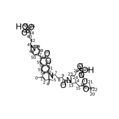 CC1=CC(C)(C)N(CCCC(=O)N(CCCC(=O)OC(C)(C)C)CCCS(=O)(=O)O)c2cc3oc(=O)c(-c4cc[n+](CCCCS(=O)(=O)O)cc4)cc3cc21